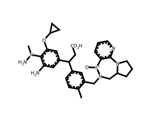 Cc1ccc(C(CC(=O)O)c2cc(N)c(N(C)N)c(OC3CC3)c2)cc1CN1CC2CCCN2c2ncccc2[S+]1[O-]